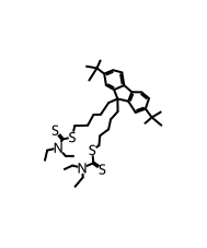 CCN(CC)C(=S)SCCCCCC1(CCCCCSC(=S)N(CC)CC)c2cc(C(C)(C)C)ccc2-c2ccc(C(C)(C)C)cc21